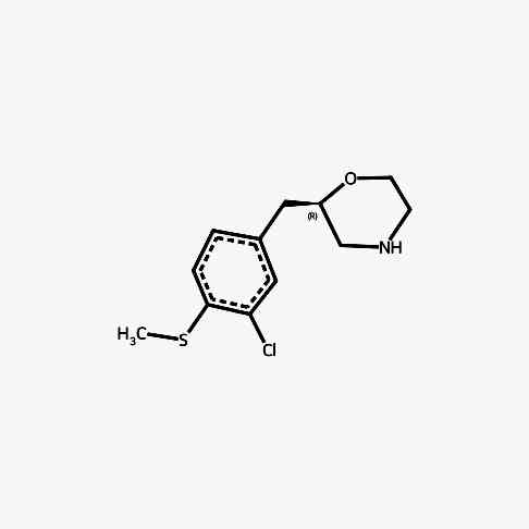 CSc1ccc(C[C@@H]2CNCCO2)cc1Cl